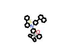 c1ccc2c(c1)Oc1cc(N(c3ccc(-c4cccc5ccccc45)cc3)c3cccc4c3sc3ccccc34)ccc1[Si]21c2ccccc2-c2ccccc21